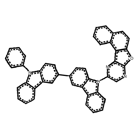 c1ccc(-n2c3ccccc3c3cc(-c4ccc5c(c4)c4ccccc4n5-c4cnc5oc6ccc7ccccc7c6c5n4)ccc32)cc1